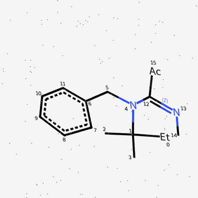 CCC(C)(C)N(Cc1ccccc1)/C(=N\C)C(C)=O